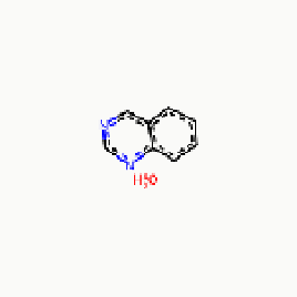 [4OH2].c1ccc2ncncc2c1